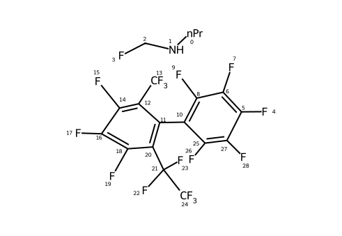 CCCNCF.Fc1c(F)c(F)c(-c2c(C(F)(F)F)c(F)c(F)c(F)c2C(F)(F)C(F)(F)F)c(F)c1F